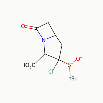 CC(C)(C)[S+]([O-])C1(Cl)CC2CC(=O)N2C1C(=O)O